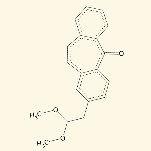 COC(Cc1ccc2c(=O)c3ccccc3ccc2c1)OC